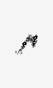 CCNc1ncc(-c2ccc(Oc3ncc(NC(=O)Nc4cc(C(F)(F)F)cnc4-c4ccccc4C)cn3)cc2)s1